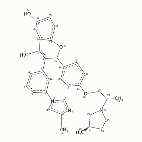 CC1=C(c2cccc(-n3cnc(C)c3)c2)C(c2ccc(OC[C@H](C)N3CC[C@@H](C)C3)cc2)Oc2ccc(O)cc21